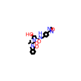 CC(C)[C@@H](C(=O)N1CC(O)C[C@H]1C(=O)NCc1ccc(-c2ncon2)cc1)N1Cc2ccccc2C1=O